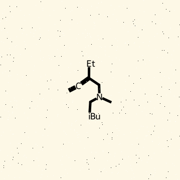 C=C=C(CC)CN(C)CC(C)CC